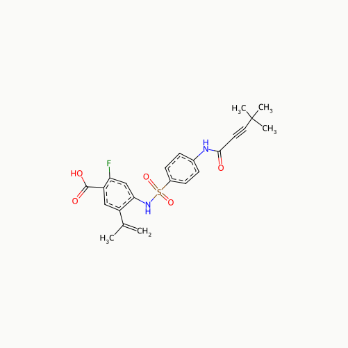 C=C(C)c1cc(C(=O)O)c(F)cc1NS(=O)(=O)c1ccc(NC(=O)C#CC(C)(C)C)cc1